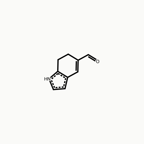 O=CC1=Cc2cc[nH]c2CC1